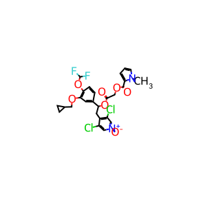 Cn1cccc1C(=O)OCC(=O)OC(Cc1c(Cl)c[n+]([O-])cc1Cl)c1ccc(OC(F)F)c(OCC2CC2)c1